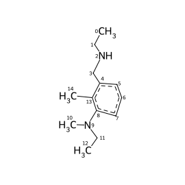 CCNCc1cccc(N(C)CC)c1C